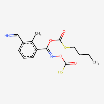 CCCCSC(=O)OC(=NOC(=O)S)c1cccc(C=N)c1C